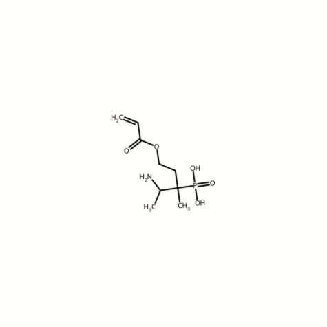 C=CC(=O)OCCC(C)(C(C)N)P(=O)(O)O